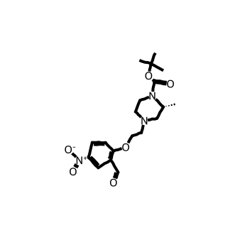 C[C@@H]1CN(CCOc2ccc([N+](=O)[O-])cc2C=O)CCN1C(=O)OC(C)(C)C